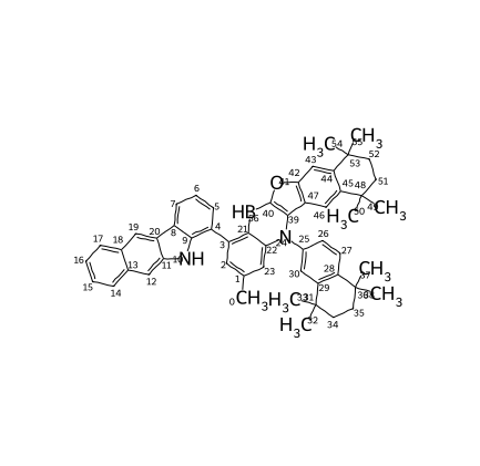 Cc1cc(-c2cccc3c2[nH]c2cc4ccccc4cc23)c2c(c1)N(c1ccc3c(c1)C(C)(C)CCC3(C)C)c1c(oc3cc4c(cc13)C(C)(C)CCC4(C)C)B2